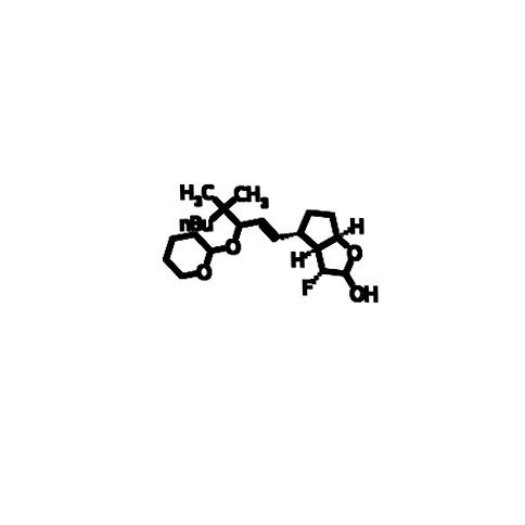 CCCCC(C)(C)C(/C=C/[C@@H]1CC[C@H]2OC(O)[C@H](F)[C@@H]12)OC1CCCCO1